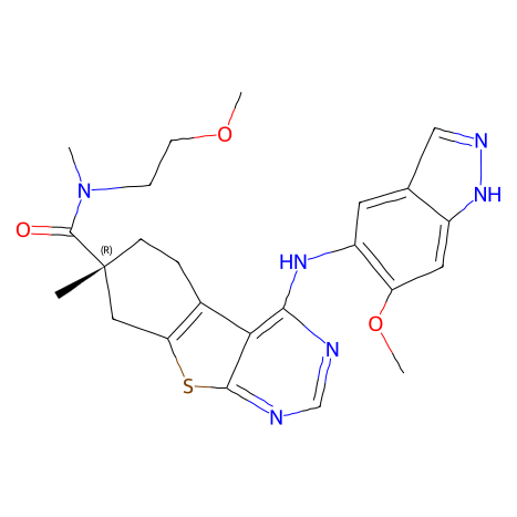 COCCN(C)C(=O)[C@]1(C)CCc2c(sc3ncnc(Nc4cc5cn[nH]c5cc4OC)c23)C1